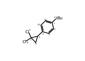 CC(C)(C)c1ccc([C]2CC2(Cl)Cl)cc1